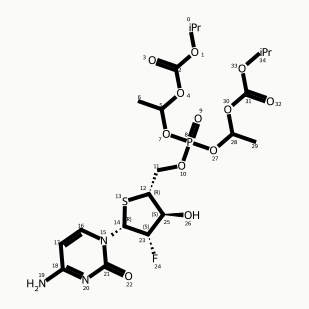 CC(C)OC(=O)OC(C)OP(=O)(OC[C@H]1S[C@@H](n2ccc(N)nc2=O)[C@@H](F)[C@@H]1O)OC(C)OC(=O)OC(C)C